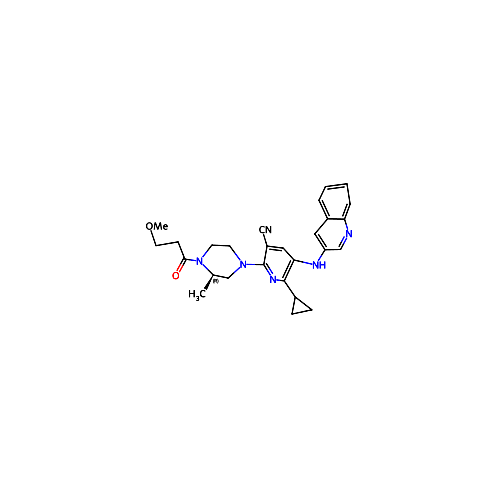 COCCC(=O)N1CCN(c2nc(C3CC3)c(Nc3cnc4ccccc4c3)cc2C#N)C[C@H]1C